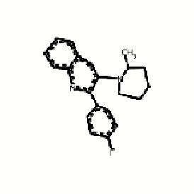 CC1CCCCN1c1cc2ccccc2nc1-c1ccc(F)cc1